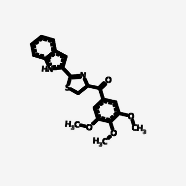 COc1cc(C(=O)C2CSC(c3cc4ccccc4[nH]3)=N2)cc(OC)c1OC